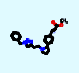 COC(=O)/C=C/c1ccc(C2CCCN2CCc2cn(Cc3ccccc3)nn2)cc1